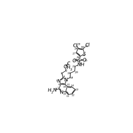 COCCc1nc2c(N)nc3ccccc3c2n1CCCCNS(=O)(=O)c1cc(Cl)c(Cl)s1